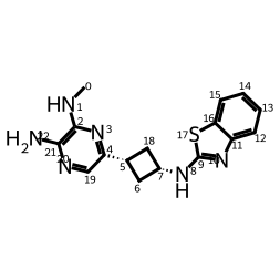 CNc1nc([C@H]2C[C@@H](Nc3nc4ccccc4s3)C2)cnc1N